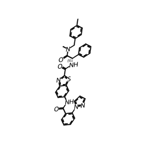 Cc1ccc(CN(C)C(=O)[C@@H](NC(=O)c2nc3ccc(NC(=O)c4ccccc4-n4cccn4)cc3s2)c2ccccc2)cc1